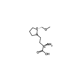 COC[C@H]1CCCN1CC[C@@H](N)C(=O)O